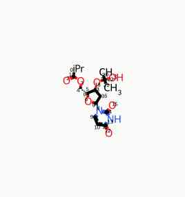 CC(C)C(=O)OC[C@H]1O[C@@H](n2ccc(=O)[nH]c2=O)C[C@@H]1OC(C)(C)O